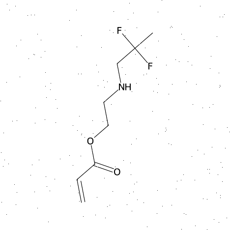 C=CC(=O)OCCNCC(C)(F)F